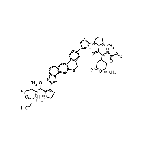 COC(=O)N[C@H](C(=O)N1[C@@H](C)CC[C@H]1c1nc2ccc3cc4c(cc3c2[nH]1)OCc1cc(-c2cnc([C@@H]3CC[C@H](C)N3C(=O)[C@@H](NC(=O)OC)C3C[C@@H](C)O[C@@H](C)C3)[nH]2)ccc1-4)C(C)C